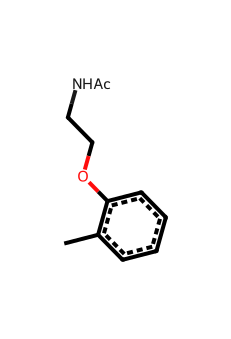 CC(=O)NCCOc1ccccc1C